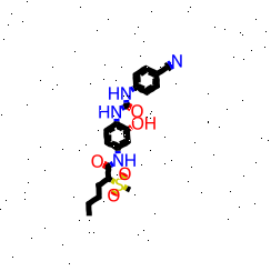 CCCCC(C(=O)Nc1ccc(NC(=O)Nc2ccc(C#N)cc2)c(O)c1)S(C)(=O)=O